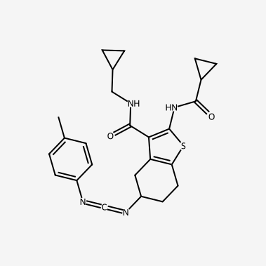 Cc1ccc(N=C=NC2CCc3sc(NC(=O)C4CC4)c(C(=O)NCC4CC4)c3C2)cc1